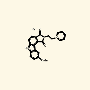 COc1ccc2[nH]c3ccc4c(c3c2c1)C(=O)N(CC[n+]1ccccc1)C4=O.[Br-]